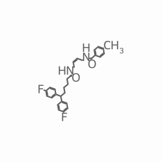 Cc1ccc(C(=O)NC/C=C\CNC(=O)CCCCC(c2ccc(F)cc2)c2ccc(F)cc2)cc1